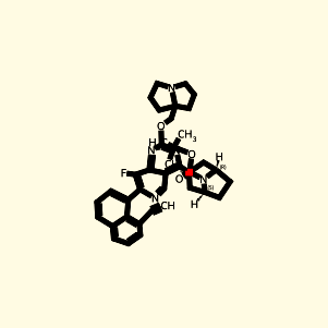 C#Cc1cccc2cccc(-c3ncc4c(N5C[C@H]6CC[C@@H](C5)N6C(=O)OC(C)(C)C)nc(OCC56CCCN5CCC6)nc4c3F)c12